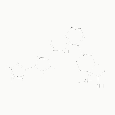 CNC1(C(N)=O)CCN(c2ccccc2NC(=O)c2csc(-c3cn[nH]c3)n2)CC1